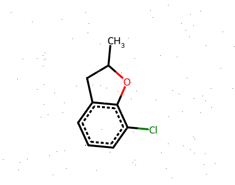 CC1Cc2c[c]cc(Cl)c2O1